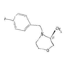 C[C@H]1COCCN1Cc1ccc(I)cc1